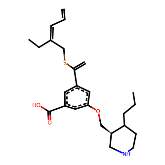 C=C/C=C(/CC)CSC(=C)c1cc(OC[C@@H]2CNCCC2CCC)cc(C(=O)O)c1